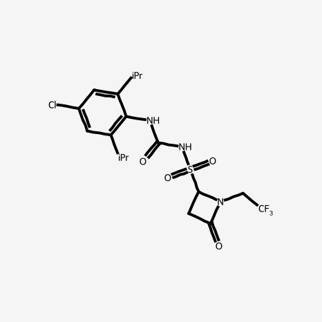 CC(C)c1cc(Cl)cc(C(C)C)c1NC(=O)NS(=O)(=O)C1CC(=O)N1CC(F)(F)F